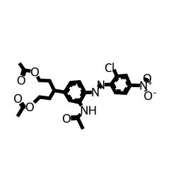 CC(=O)Nc1cc(C(CCOC(C)=O)CCOC(C)=O)ccc1N=Nc1ccc([N+](=O)[O-])cc1Cl